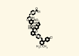 CCC(=O)N1CCN(C[C@@H]2COc3cc(S(=O)(=O)NC(=O)c4cccc(N5CCN(CC6=C(c7ccc(Cl)cc7)CC(C)(C)CC6)CC5)c4Oc4cnc5[nH]ccc5c4)cc([N+](=O)[O-])c3N2)CC1